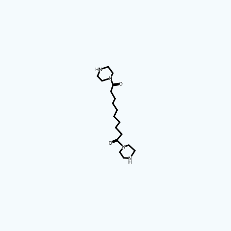 O=C(CCCCCCCCC(=O)N1CCNCC1)N1CCNCC1